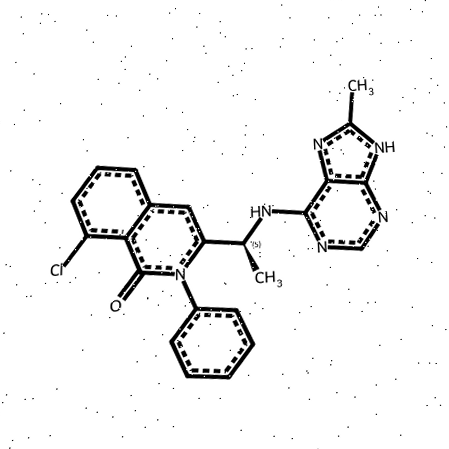 Cc1nc2c(N[C@@H](C)c3cc4cccc(Cl)c4c(=O)n3-c3ccccc3)ncnc2[nH]1